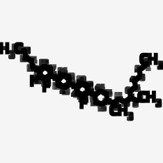 CCCCCCCC(CC)CCC(C)C1CCC(c2ccc(-c3ccc(-c4ccc(CCCCC)c(F)c4F)cc3)cc2F)CC1